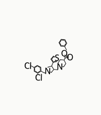 CO[C@@H](OCc1ccccc1)C1CCN(CC2CN(Cc3ccc(Cl)cc3Cl)CC2c2ccsc2)CC1